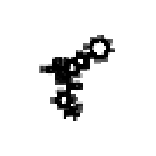 CC(C)(O)c1cc2nc(C3CCCCCCC3)sc2cc1NC(=O)c1cccc(C(F)(F)F)n1